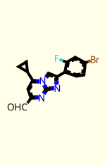 O=Cc1cc(C2CC2)n2cc(-c3ccc(Br)cc3F)nc2n1